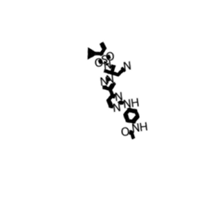 C=CC(C1CC1)S(=O)(=O)N1CC(CC#N)(n2cc(-c3ccnc(Nc4ccc(NC(C)=O)cc4)n3)cn2)C1